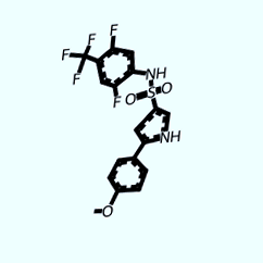 COc1ccc(-c2cc(S(=O)(=O)Nc3cc(F)c(C(F)(F)F)cc3F)c[nH]2)cc1